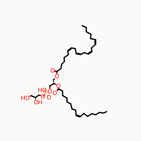 CCCCC/C=C\C/C=C\C/C=C\C/C=C\CCCCCC(=O)OC[C@H](COP(=O)(O)OC[C@@H](O)CO)OC(=O)CCCCCCC/C=C\CCCCCCC